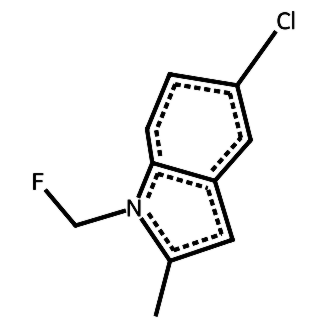 Cc1cc2cc(Cl)ccc2n1CF